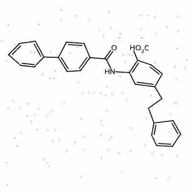 O=C(Nc1cc(CCc2ccccc2)ccc1C(=O)O)c1ccc(-c2ccccc2)cc1